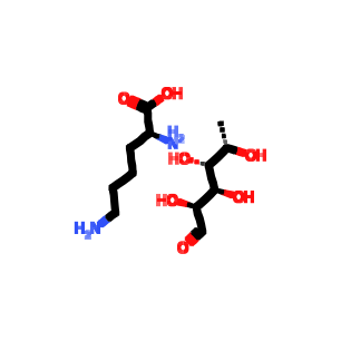 C[C@H](O)[C@@H](O)[C@@H](O)[C@H](O)C=O.NCCCC[C@H](N)C(=O)O